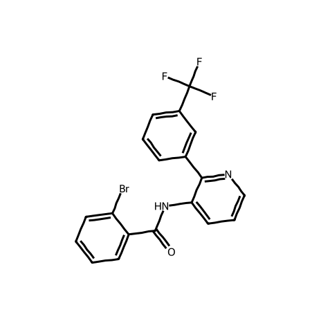 O=C(Nc1cccnc1-c1cccc(C(F)(F)F)c1)c1ccccc1Br